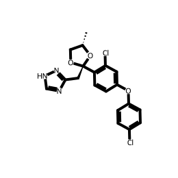 C[C@H]1CO[C@@](Cc2nc[nH]n2)(c2ccc(Oc3ccc(Cl)cc3)cc2Cl)O1